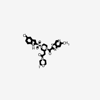 Cc1cc2c(cn1)SC(C(=O)N1CCN(S(=O)(=O)c3cc4cc(Cl)ccc4[nH]3)CC1CC(=O)N1CCOCC1)=[N+]2.[I-]